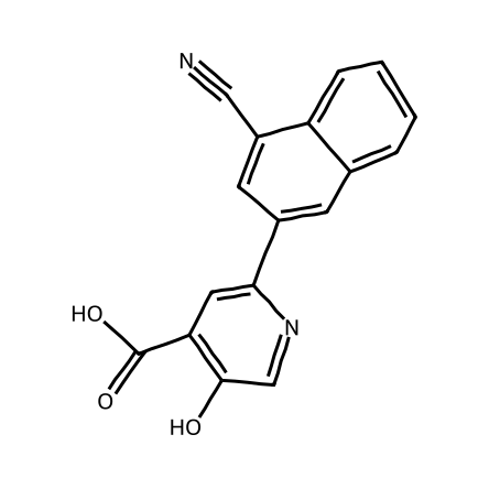 N#Cc1cc(-c2cc(C(=O)O)c(O)cn2)cc2ccccc12